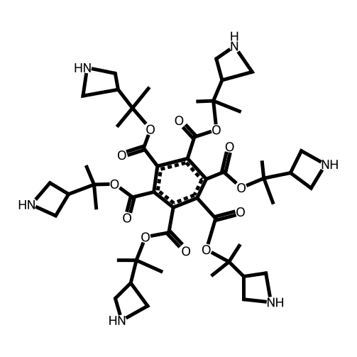 CC(C)(OC(=O)c1c(C(=O)OC(C)(C)C2CNC2)c(C(=O)OC(C)(C)C2CNC2)c(C(=O)OC(C)(C)C2CNC2)c(C(=O)OC(C)(C)C2CNC2)c1C(=O)OC(C)(C)C1CNC1)C1CNC1